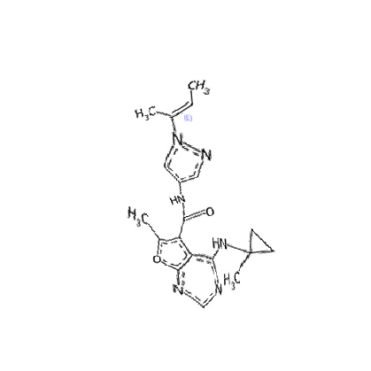 C/C=C(\C)n1cc(NC(=O)c2c(C)oc3ncnc(NC4(C)CC4)c23)cn1